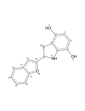 Oc1ccc(O)c2c1NC(c1cc3ccccc3o1)S2